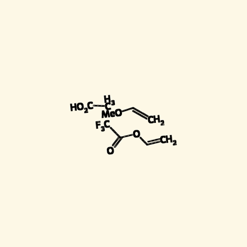 C=COC.C=COC(=O)C(F)(F)F.CC(=O)O